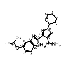 NC(=O)c1cn(C2CCCCO2)nc1-c1nc2cc(OC(F)F)ccc2[nH]1